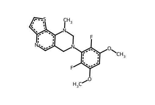 COc1cc(OC)c(F)c(N2Cc3cnc4ccsc4c3N(C)C2)c1F